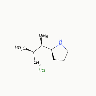 CO[C@@H]([C@@H]1CCCN1)[C@@H](C)C(=O)O.Cl